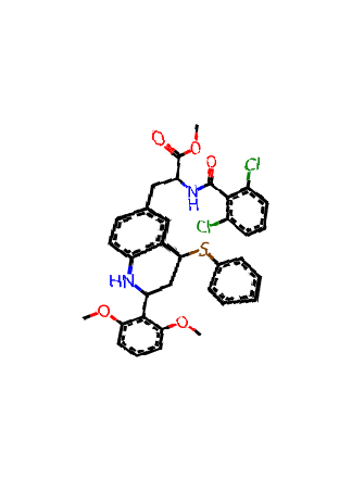 COC(=O)C(Cc1ccc2c(c1)C(Sc1ccccc1)CC(c1c(OC)cccc1OC)N2)NC(=O)c1c(Cl)cccc1Cl